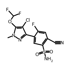 Cn1nc(-c2cc(S(N)(=O)=O)c(C#N)cc2F)c(Cl)c1OC(F)F